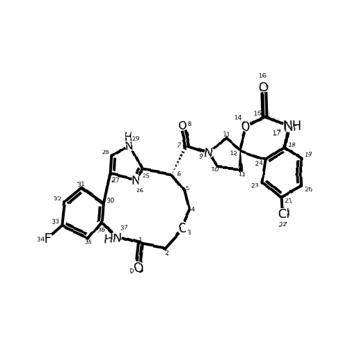 O=C1CCCC[C@@H](C(=O)N2CC[C@@]3(C2)OC(=O)Nc2ccc(Cl)cc23)c2nc(c[nH]2)-c2ccc(F)cc2N1